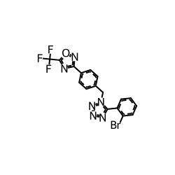 FC(F)(F)c1nc(-c2ccc(Cn3nnnc3-c3ccccc3Br)cc2)no1